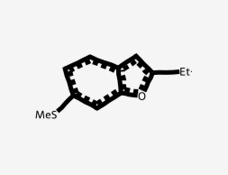 C[CH]c1cc2ccc(SC)cc2o1